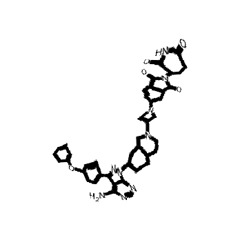 Nc1ncnc2c1c(-c1ccc(Oc3ccccc3)cc1)nn2C1CCC2CCN(C3CN(c4ccc5c(c4)C(=O)N(C4CCC(=O)NC4=O)C5=O)C3)CC2C1